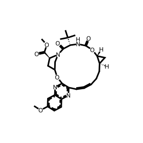 COC(=O)[C@@H]1CC2CN1C(=O)[C@H](C(C)(C)C)NC(=O)O[C@@H]1C[C@H]1CCC=C=Cc1nc3ccc(OC)cc3nc1O2